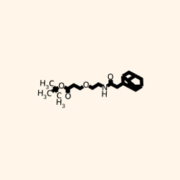 CC(C)(C)OC(=O)CCOCCNC(=O)CC1C2CC3CC(C2)CC1C3